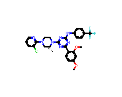 COc1ccc(-c2nc(Nc3ccc(C(F)(F)F)cc3)nc(N3CCN(c4ncccc4Cl)C[C@H]3C)n2)c(OC)c1